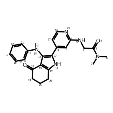 CN(C)C(=O)CNc1cc(-c2[nH]c3c(c2Nc2ccccc2)C(=O)CCC3)ccn1